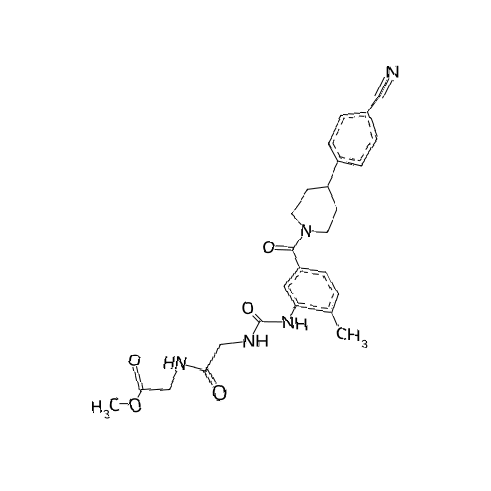 COC(=O)CNC(=O)CNC(=O)Nc1cc(C(=O)N2CCC(c3ccc(C#N)cc3)CC2)ccc1C